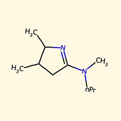 CCCN(C)C1=NC(C)C(C)C1